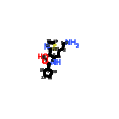 NCCCCC(NC(=O)C1CCCC1)C(O)c1nccs1